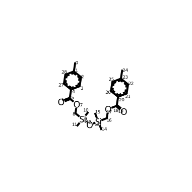 Cc1ccc(C(=O)OC[Si](C)(C)O[Si](C)(C)COC(=O)c2ccc(C)cc2)cc1